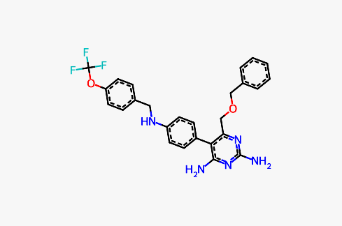 Nc1nc(N)c(-c2ccc(NCc3ccc(OC(F)(F)F)cc3)cc2)c(COCc2ccccc2)n1